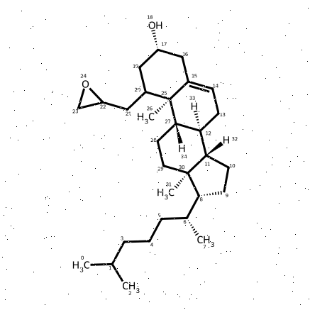 CC(C)CCC[C@@H](C)[C@H]1CC[C@H]2[C@@H]3CC=C4C[C@@H](O)CC(CC5CO5)[C@]4(C)[C@H]3CC[C@]12C